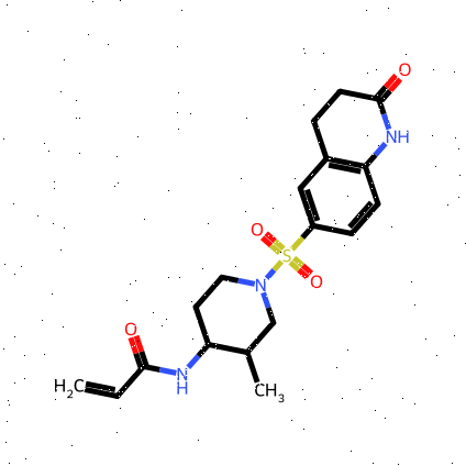 C=CC(=O)NC1CCN(S(=O)(=O)c2ccc3c(c2)CCC(=O)N3)CC1C